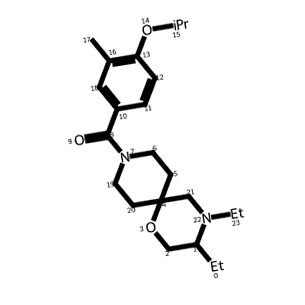 CCC1COC2(CCN(C(=O)c3ccc(OC(C)C)c(C)c3)CC2)CN1CC